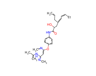 C=CC/C(=C\C=C/CC)CC(O)C(=O)Nc1ccc(O/C(=C/C(=N\C)NC(=C)C)N=C)cc1